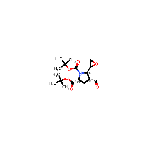 CC(C)(C)OC(=O)[C@H]1C[C@@H](C=O)[C@H](C2CO2)N1C(=O)OC(C)(C)C